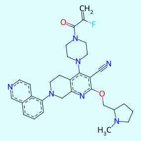 C=C(F)C(=O)N1CCN(c2c(C#N)c(OCC3CCCN3C)nc3c2CCN(c2cccc4cnccc24)C3)CC1